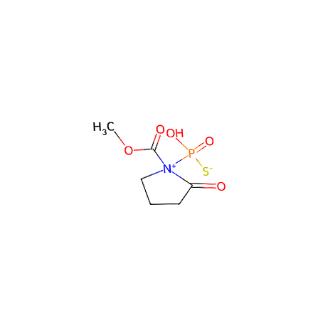 COC(=O)[N+]1(P(=O)(O)[S-])CCCC1=O